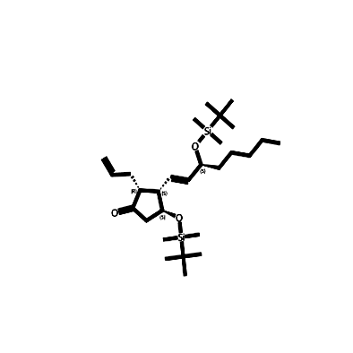 C=CC[C@H]1C(=O)C[C@H](O[Si](C)(C)C(C)(C)C)[C@H]1C=C[C@H](CCCCC)O[Si](C)(C)C(C)(C)C